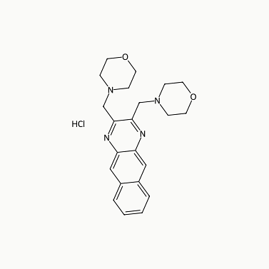 Cl.c1ccc2cc3nc(CN4CCOCC4)c(CN4CCOCC4)nc3cc2c1